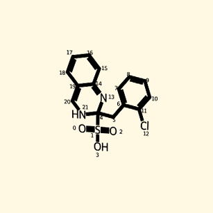 O=S(=O)(O)C1(Cc2ccccc2Cl)N=c2ccccc2=CN1